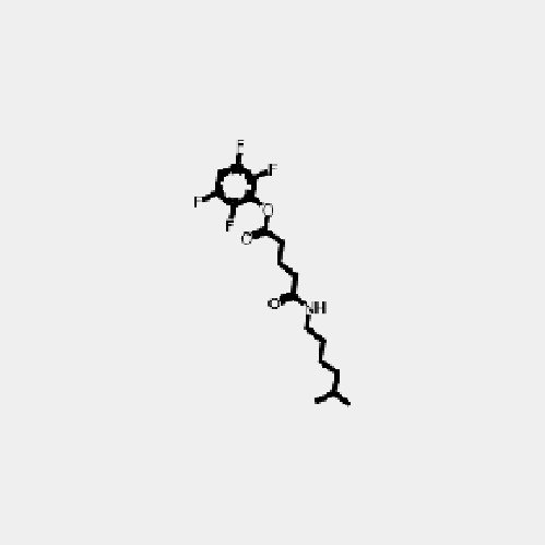 CC(C)CCCCNC(=O)CCCC(=O)Oc1c(F)c(F)cc(F)c1F